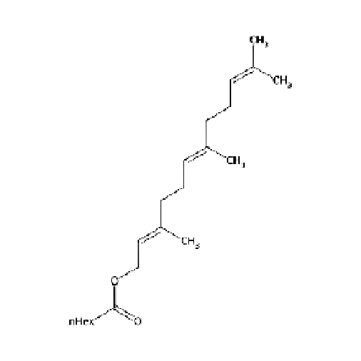 CCCCCCC(=O)OC/C=C(\C)CC/C=C(\C)CCC=C(C)C